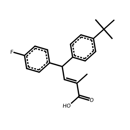 C/C(=C\C(c1ccc(F)cc1)c1ccc(C(C)(C)C)cc1)C(=O)O